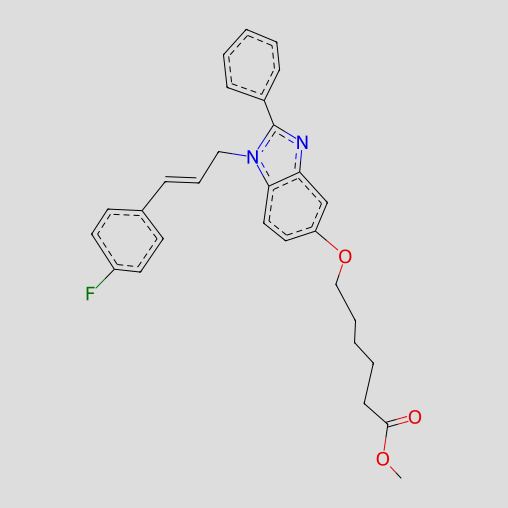 COC(=O)CCCCCOc1ccc2c(c1)nc(-c1ccccc1)n2CC=Cc1ccc(F)cc1